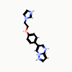 c1cn(CCOc2ccc(-c3cnc4ccnn4c3)cc2)cn1